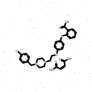 O=C(O)/C=C\C(=O)O.O=C(O)c1ccccc1Sc1ccc(OCCN2CCN(Cc3ccc(Cl)cc3)CC2)cc1